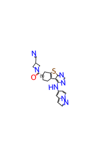 N#CC1CN(C(=O)[C@H]2CCc3c(sc4ncnc(Nc5ccn6nccc6c5)c34)C2)C1